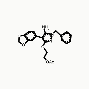 CC(=O)OCCOc1nn(Cc2ccccc2)c(N)c1-c1ccc2c(c1)OCO2